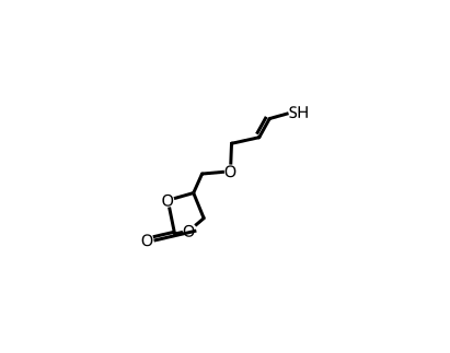 O=C1OCC(COC/C=C/S)O1